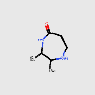 CC(C)(C)C1NCCC(=O)NC1C(C)(C)C